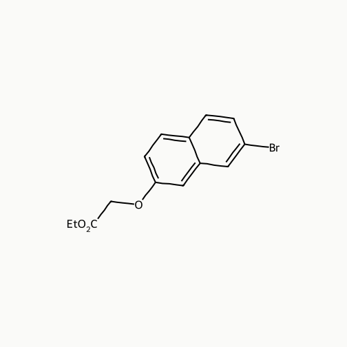 CCOC(=O)COc1ccc2ccc(Br)cc2c1